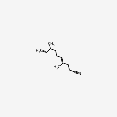 C=CC(C)CC/C=C(\C)CCC#N